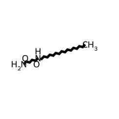 CCCCCCCCCCCCCCCCNC(=O)CCC(N)=O